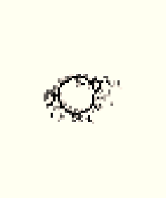 COc1cc2cc(c1Cl)N(C)C(=O)CCC1(C)OC1[C@H](C)C1C[C@](O)(C/C=C/C=C(\C)C2)NC(=O)O1